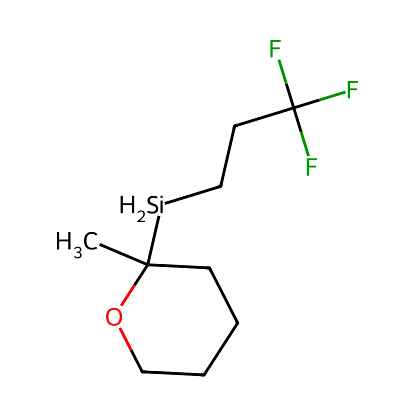 CC1([SiH2]CCC(F)(F)F)CCCCO1